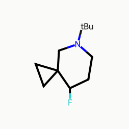 CC(C)(C)N1CCC(F)C2(CC2)C1